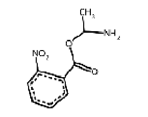 CC(N)OC(=O)c1ccccc1[N+](=O)[O-]